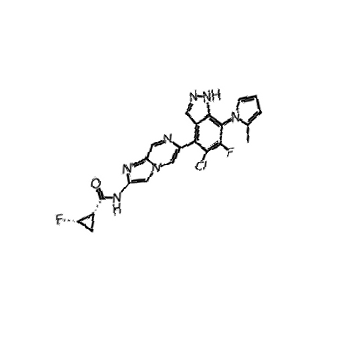 Cc1cccn1-c1c(F)c(Cl)c(-c2cn3cc(NC(=O)[C@@H]4C[C@@H]4F)nc3cn2)c2cn[nH]c12